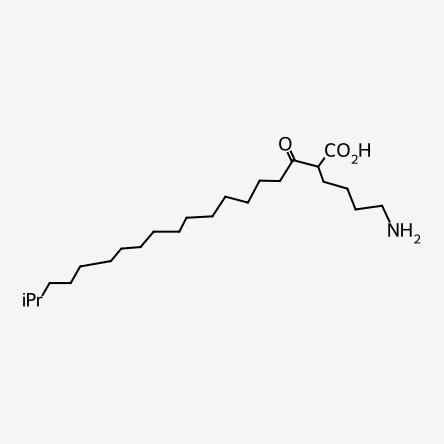 CC(C)CCCCCCCCCCCCCCC(=O)C(CCCCN)C(=O)O